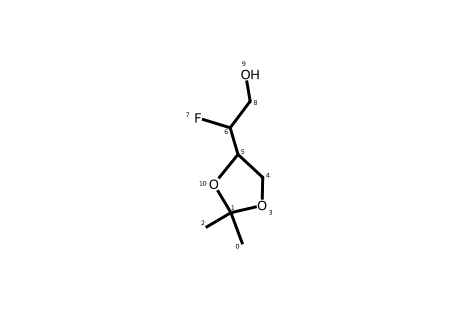 CC1(C)OCC(C(F)CO)O1